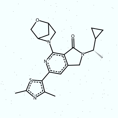 Cc1nc(C)c(-c2cc3c(c(N4CC5CC4CO5)n2)C(=O)N([C@@H](C)C2CC2)C3)s1